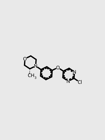 C[C@@H]1COCCN1c1cccc(Oc2cnc(Cl)nc2)c1